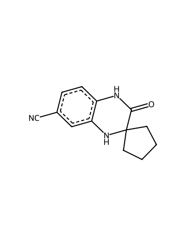 N#Cc1ccc2c(c1)NC1(CCCC1)C(=O)N2